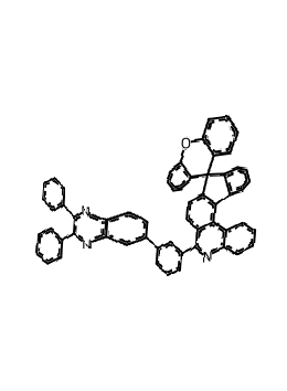 c1ccc(-c2nc3ccc(-c4cccc(-c5nc6ccccc6c6c7c(ccc56)C5(c6ccccc6Oc6ccccc65)c5ccccc5-7)c4)cc3nc2-c2ccccc2)cc1